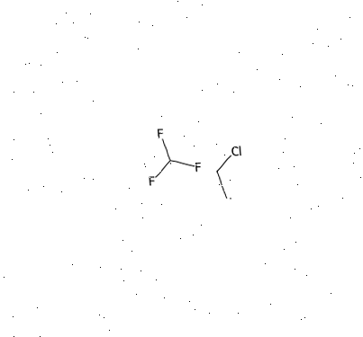 F[C](F)F.[CH2]CCl